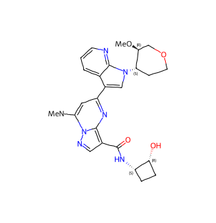 CNc1cc(-c2cn([C@H]3CCOC[C@@H]3OC)c3ncccc23)nc2c(C(=O)N[C@H]3CC[C@H]3O)cnn12